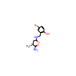 C[C@@H]([CH]C(=O)NCc1cc(Br)ccc1O)C(N)=O